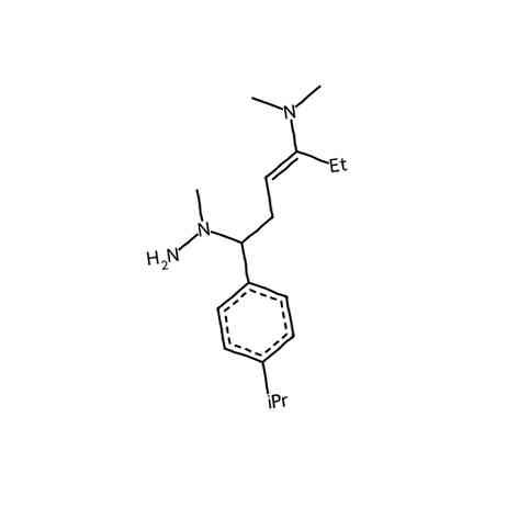 CC/C(=C\CC(c1ccc(C(C)C)cc1)N(C)N)N(C)C